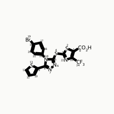 O=C(O)c1sc(Sc2nnc(-c3cccs3)n2-c2ccc(Br)cc2)nc1C(F)(F)F